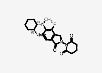 CN[C@H]1CCCC[C@@H]1N(C)c1ccc2c(c1F)CN(N1C(=O)CCCC1=O)C2=O